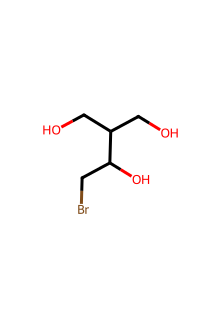 OCC(CO)C(O)CBr